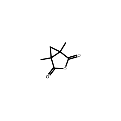 CC12CC1(C)C(=O)OC2=O